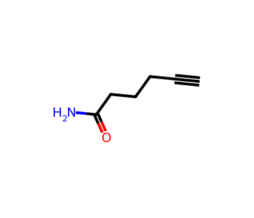 C#CCCCC(N)=O